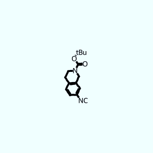 [C-]#[N+]c1ccc2c(c1)CN(C(=O)OC(C)(C)C)CC2